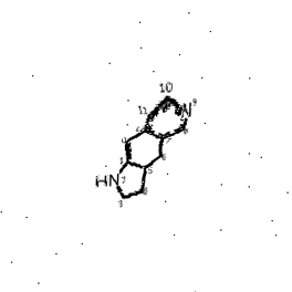 C1=C2NCCC2Cc2cnccc21